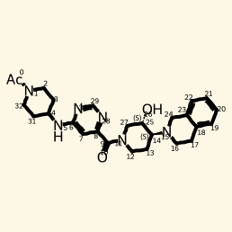 CC(=O)N1CCC(Nc2cc(C(=O)N3CC[C@H](N4CCc5ccccc5C4)[C@@H](O)C3)ncn2)CC1